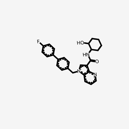 O=C(NC1CCCCC1O)c1cn(Cc2ccc(-c3ccc(F)cc3)cc2)c2cccnc12